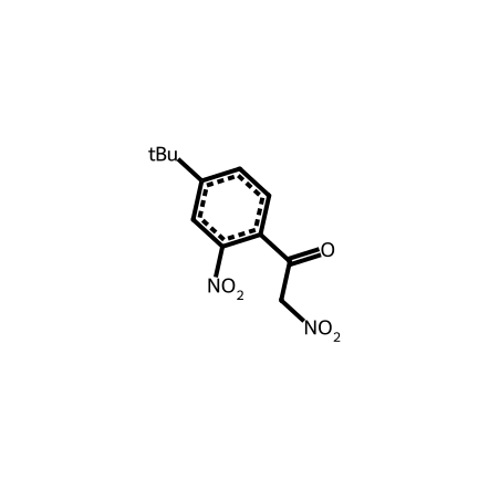 CC(C)(C)c1ccc(C(=O)C[N+](=O)[O-])c([N+](=O)[O-])c1